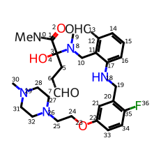 CNC(=O)C(O)(CCC=O)N(C)Cc1c(C=O)cccc1NCc1cc(OCCN2CCN(C)CC2)ccc1F